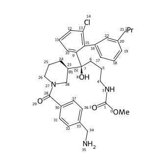 COC(=O)NCCC[C@@](O)(c1cccc(Cl)c1-c1cccc(C(C)C)c1)[C@@H]1CCCN(C(=O)c2ccc(CN)cc2)C1